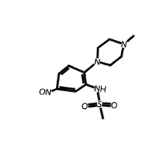 CN1CCN(c2ccc(N=O)cc2NS(C)(=O)=O)CC1